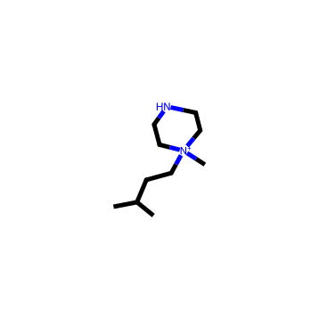 CC(C)CC[N+]1(C)CCNCC1